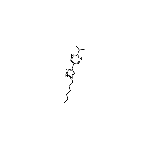 CCCCCCn1cc(-c2cnc(C(C)C)nc2)nn1